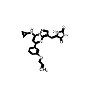 C=CCOc1cccc(-c2cc(NC3CC3)n3ncc(/C=C4\NC(=O)NC4=O)c3n2)c1